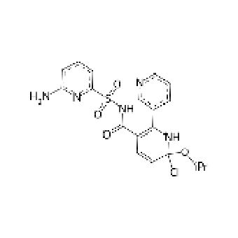 CC(C)OC1(Cl)C=CC(C(=O)NS(=O)(=O)c2cccc(N)n2)=C(c2cccnc2)N1